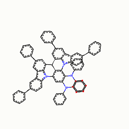 c1ccc(-c2ccc3c(c2)c2cc(-c4ccccc4)cc4c2n3-c2cc(N(c3ccccc3)c3ccccc3)c(N(c3ccccc3)c3ccccc3)c3c2C4c2cc(-c4ccccc4)cc4c5cc(-c6ccccc6)ccc5n-3c24)cc1